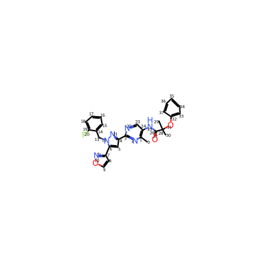 Cc1nc(-c2cc(-c3ccon3)n(Cc3ccccc3F)n2)ncc1NC(=O)C(C)(C)Oc1ccccc1